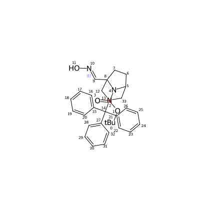 CC(C)(C)OC(=O)N1C2CCC1(/C=N/O)CN(C(c1ccccc1)(c1ccccc1)c1ccccc1)C2